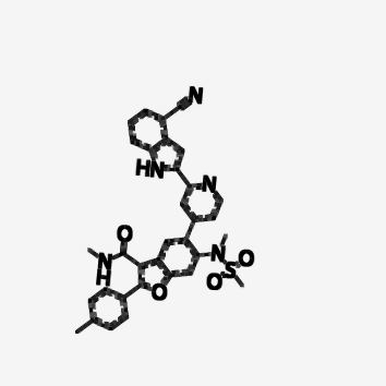 CNC(=O)c1c(-c2ccc(C)cc2)oc2cc(N(C)S(C)(=O)=O)c(-c3ccnc(-c4cc5c(C#N)cccc5[nH]4)c3)cc12